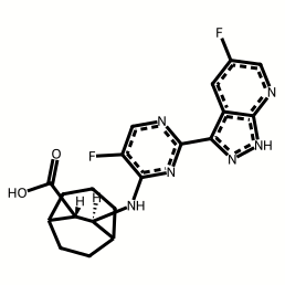 O=C(O)[C@H]1C2CCCC(CC2)[C@@H]1Nc1nc(-c2n[nH]c3ncc(F)cc23)ncc1F